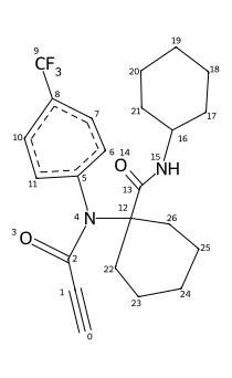 C#CC(=O)N(c1ccc(C(F)(F)F)cc1)C1(C(=O)NC2CCCCC2)CCCCC1